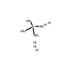 CCCC[N+](CCCC)(CCCC)CCCC.I.I.I.I.I